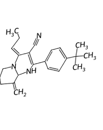 C=C1CCCN2C(=CCC)C(C#N)=C(c3ccc(C(C)(C)C)cc3)NC12